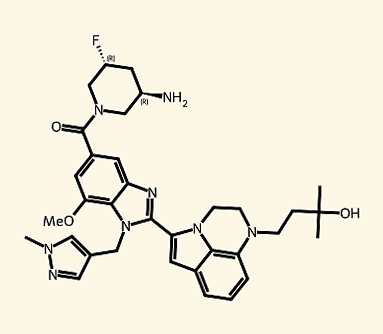 COc1cc(C(=O)N2C[C@H](N)C[C@@H](F)C2)cc2nc(-c3cc4cccc5c4n3CCN5CCC(C)(C)O)n(Cc3cnn(C)c3)c12